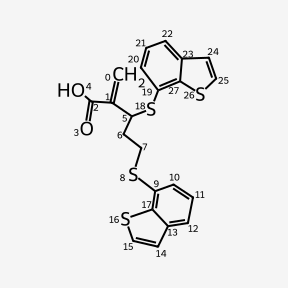 C=C(C(=O)O)C(CCSc1cccc2ccsc12)Sc1cccc2ccsc12